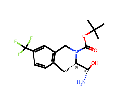 CC(C)(C)OC(=O)N1Cc2cc(C(F)(F)F)ccc2C[C@H]1[C@@H](N)O